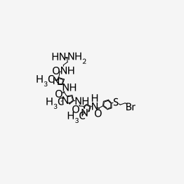 Cn1cc(NC(=O)c2cc(NC(=O)c3cc(NC(=O)c4ccc(SCCBr)cc4)cn3C)cn2C)cc1C(=O)NCCC(=N)N